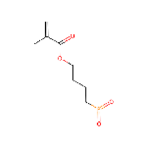 C=C(C)C(=O)OCCCCP(=O)=O